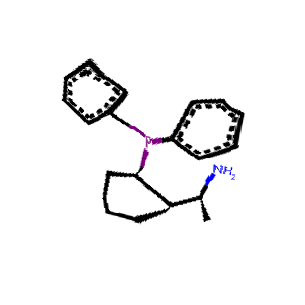 C[C@H](N)[C@H]1CCC[C@H]1P(c1ccccc1)c1ccccc1